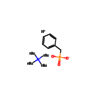 CCCC[N+](CCCC)(CCCC)CCCC.O=P([O-])([O-])Cc1ccccc1.[H+]